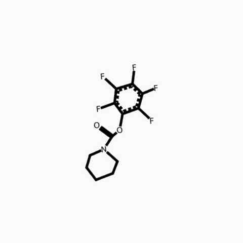 O=C(Oc1c(F)c(F)c(F)c(F)c1F)N1CCCCC1